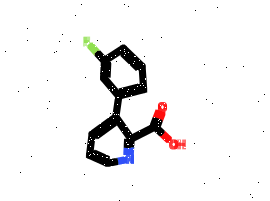 O=C(O)c1ncccc1-c1cccc(F)c1